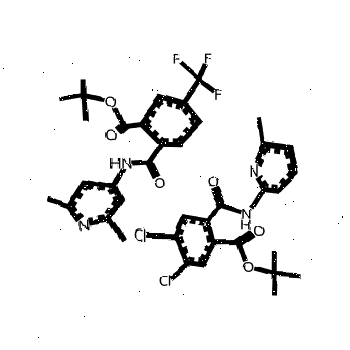 Cc1cc(NC(=O)c2ccc(C(F)(F)F)cc2C(=O)OC(C)(C)C)cc(C)n1.Cc1cccc(NC(=O)c2cc(Cl)c(Cl)cc2C(=O)OC(C)(C)C)n1